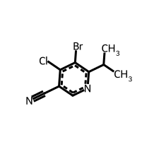 CC(C)c1ncc(C#N)c(Cl)c1Br